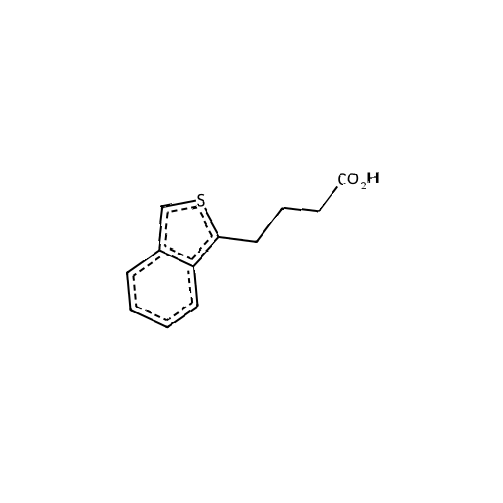 O=C(O)CCCc1scc2ccccc12